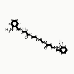 Nc1ccccc1CNCCC(=O)OCCOCCOC(=O)CCNCc1ccccc1N